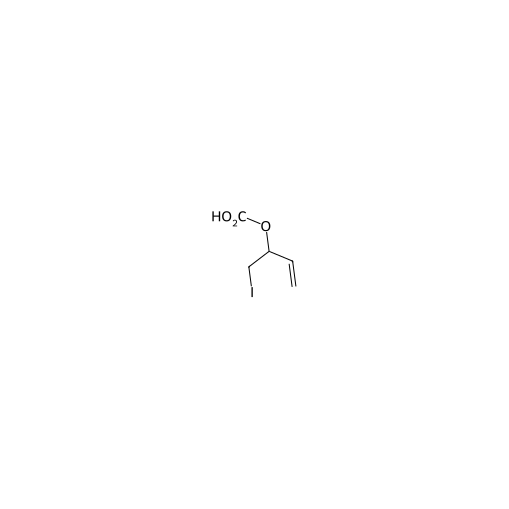 C=CC(CI)OC(=O)O